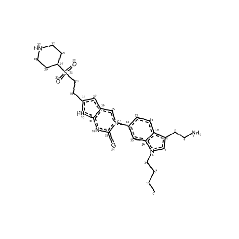 CCCCn1cc(CCN)c2ccc(-n3cc4cc(CCS(=O)(=O)C5CCNCC5)[nH]c4nc3=O)cc21